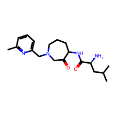 Cc1cccc(CN2CCCC(NC(=O)[C@@H](N)CC(C)C)C(=O)C2)n1